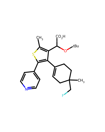 Cc1sc(-c2ccncc2)c(C2=CCC(C)(CF)CC2)c1C(OC(C)(C)C)C(=O)O